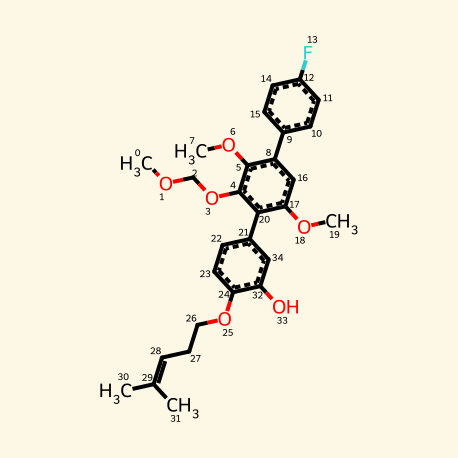 COCOc1c(OC)c(-c2ccc(F)cc2)cc(OC)c1-c1ccc(OCCC=C(C)C)c(O)c1